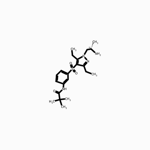 CCc1nn(C[C@H](C)N)c(CC)c1S(=O)(=O)c1cccc(NC(=O)C(C)(C)C)c1